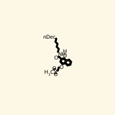 CCCCCCCCCCCCCCCCNC(=O)c1cc(OCCS(C)(=O)=O)c2ccccc2c1O